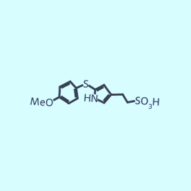 COc1ccc(Sc2cc(CCS(=O)(=O)O)c[nH]2)cc1